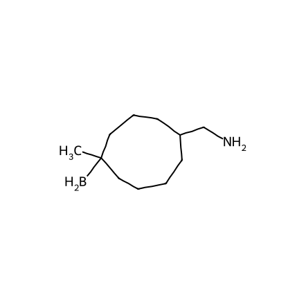 BC1(C)CCCCC(CN)CCC1